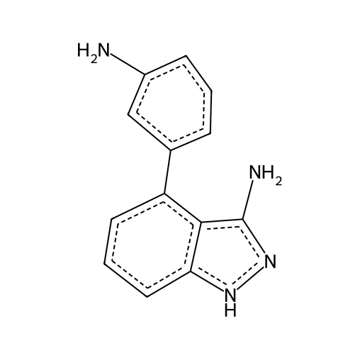 Nc1cccc(-c2cccc3[nH]nc(N)c23)c1